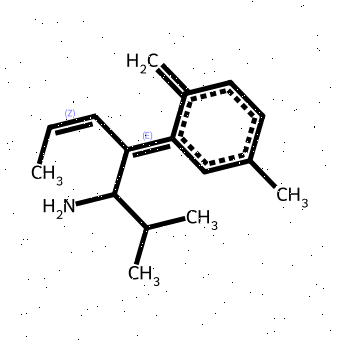 C=c1ccc(C)c/c1=C(/C=C\C)C(N)C(C)C